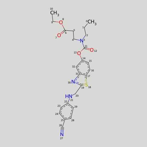 CCCN(CCC(=O)OCC)C(=O)Oc1ccc2sc(CNc3ccc(C#N)cc3)nc2c1